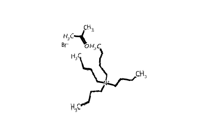 CC(C)=O.CCCC[N+](CCCC)(CCCC)CCCC.[Br-]